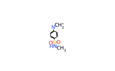 [CH2+][N-]c1ccc(S(=O)(=O)NC)cc1